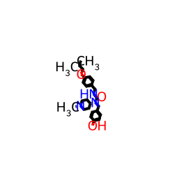 CC(C)COc1ccc(CNC(=O)N(Cc2ccc(O)cc2)C2CCN(C)CC2)cc1